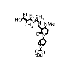 CCC(=N\N(C)/N=C/c1c(NC)ccn(C2CC3CC2CN3C(=O)OC(C)(C)C)c1=O)/C(C)=C(/O)CC